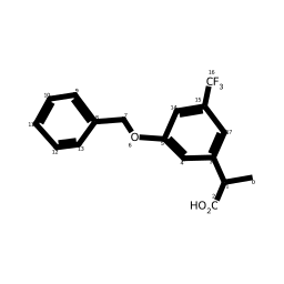 CC(C(=O)O)c1cc(OCc2ccccc2)cc(C(F)(F)F)c1